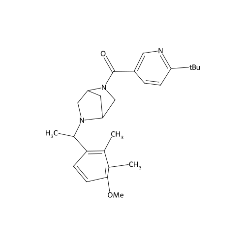 COc1ccc(C(C)N2CC3CC2CN3C(=O)c2ccc(C(C)(C)C)nc2)c(C)c1C